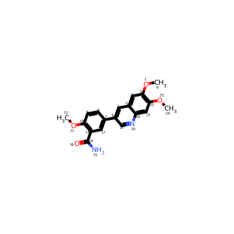 COc1cc2cc(-c3ccc(OC)c(C(N)=O)c3)cnc2cc1OC